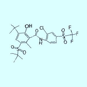 Cc1c(S(=O)(=O)C(C)(C)C)cc(C(C)(C)C)c(O)c1C(=O)Nc1ccc(S(=O)(=O)C(F)(F)F)cc1Cl